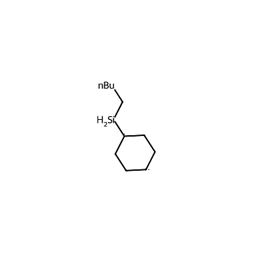 CCCCC[SiH2][C]1CC[CH]CC1